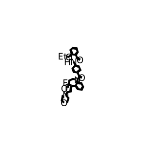 CCOc1ccccc1C(=O)Nc1ccc(C(=O)N2CCC(F)(F)/C(=C\C(=O)N3CCOCC3)c3ccccc32)cc1